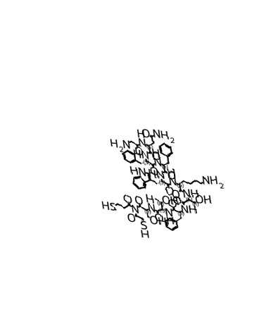 C[C@@H](O)[C@H](NC(=O)[C@H](CCCCN)NC(=O)[C@H](Cc1c[nH]c2ccccc12)NC(=O)[C@H](Cc1ccccc1)NC(=O)[C@H](Cc1ccccc1)NC(=O)[C@H](CC(N)=O)NC(=O)CN)C(=O)N[C@@H](Cc1ccccc1)C(=O)N[C@H](C(=O)N[C@@H](CO)C(=O)N(C(=O)CS)C(=O)CCS)[C@@H](C)O